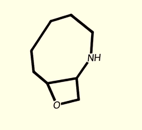 C1CCNC2COC2CC1